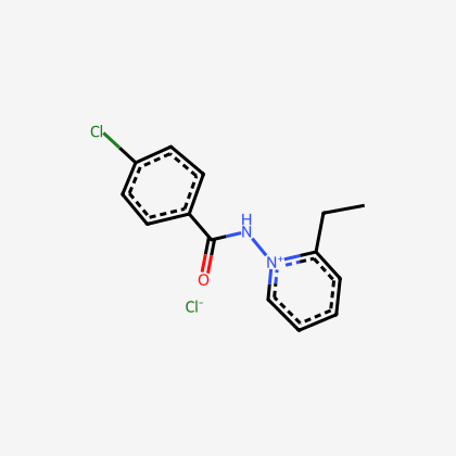 CCc1cccc[n+]1NC(=O)c1ccc(Cl)cc1.[Cl-]